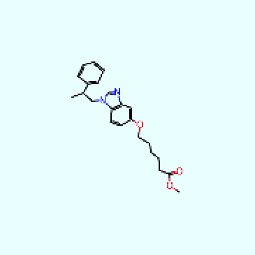 COC(=O)CCCCCOc1ccc2c(c1)ncn2CC(C)c1ccccc1